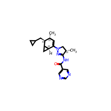 C[C@@H]1C=C(N2C[C@H](C)C(NC(=O)c3cncnc3)=N2)[C@H]2CC2[C@H]1CC1CC1